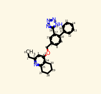 CCc1cc(OCc2ccc(-c3ccccc3)c(-c3nnn[nH]3)c2)c2c(n1)CCCC2